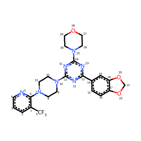 FC(F)(F)c1cccnc1N1CCN(c2nc(-c3ccc4c(c3)OCO4)nc(N3CCOCC3)n2)CC1